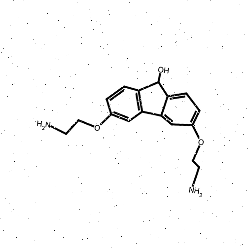 NCCOc1ccc2c(c1)-c1cc(OCCN)ccc1C2O